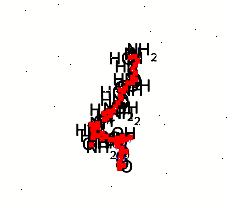 C/C=C/C1OC([C@@H](/C=C/C=C(\C)C[C@@H](C)/C=C(C)\C=C\C2CC=CC(=O)O2)NC(=O)OCc2ccc(NC(=O)[C@H](CCCNC(N)=O)NC(=O)[C@@H](NC(=O)OC[C@@H]3[C@@H]4CC/C(N)=C(/N(N)CCC[C@H](NC(=O)CCC(NC(=O)CC[C@H](NC(=O)c5ccc(NCc6cnc7nc(N)nc(O)c7n6)cc5)C(=O)O)C(=O)O)C(=O)O)CC[C@@H]43)C(C)C)cc2)C[C@@H](O)[C@@H]1C